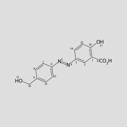 O=C(O)c1cc(N=Nc2ccc(CO)cc2)ccc1O